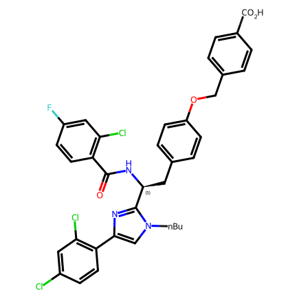 CCCCn1cc(-c2ccc(Cl)cc2Cl)nc1[C@H](Cc1ccc(OCc2ccc(C(=O)O)cc2)cc1)NC(=O)c1ccc(F)cc1Cl